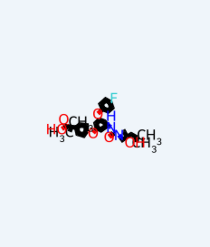 CC(C)CC1(O)CN(C(=O)Nc2cc(Oc3ccc(F)cc3)cc(Oc3ccc(C(C)(C)C(=O)O)cc3)c2)C1